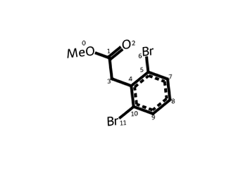 COC(=O)Cc1c(Br)cccc1Br